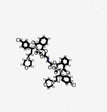 O=C(/C=C/C(=O)OC1c2ccccc2C(=O)N(C(CCN2CCOCC2)c2ccc(Cl)cc2)S1(=O)=O)OC1c2ccccc2C(=O)N(C(CCN2CCOCC2)c2ccc(Cl)cc2)S1(=O)=O